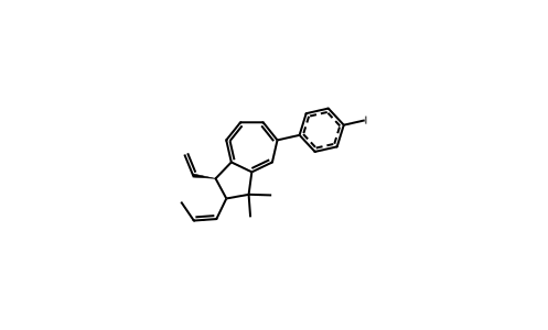 C=C[C@H]1C2=C=CC=C(c3ccc(I)cc3)C=C2C(C)(C)C1/C=C\C